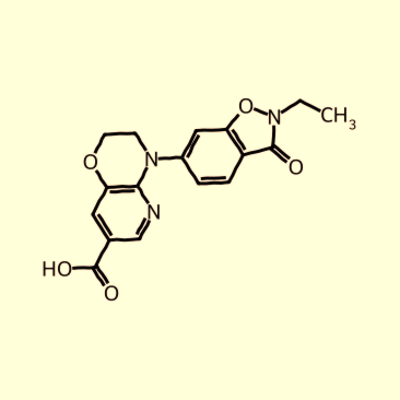 CCn1oc2cc(N3CCOc4cc(C(=O)O)cnc43)ccc2c1=O